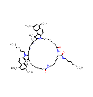 CC1(C)C2=[N+](CCCCCC(=O)NC(C(=O)NCCCCCC(=O)O)CCCCNC(=O)CCCCCC3(C)/C(=C/C=C/C=C/2)N(CCCCS(=O)(=O)O)c2ccc4c(S(=O)(=O)O)cc(S(=O)(=O)O)cc4c23)c2ccc3c(S(=O)(=O)O)cc(S(=O)(=O)O)cc3c21